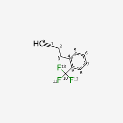 C#CC[CH]c1ccccc1C(F)(F)F